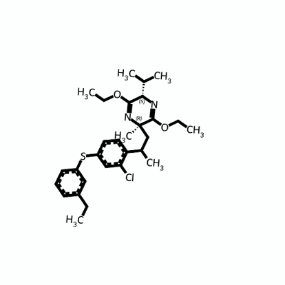 CCOC1=N[C@](C)(CC(C)c2ccc(Sc3cccc(CC)c3)cc2Cl)C(OCC)=N[C@H]1C(C)C